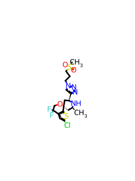 C[C@H]1C[C@@]2(C[C@@H](c3cn(CCCS(C)(=O)=O)nn3)N1)OCC(F)(F)c1cc(Cl)sc12